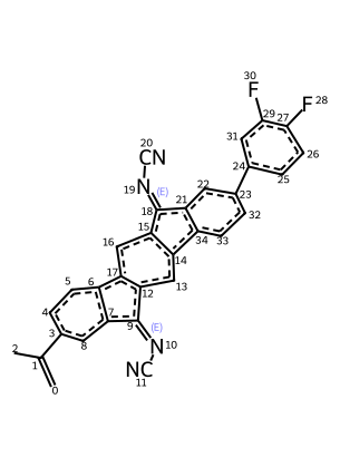 C=C(C)c1ccc2c(c1)/c(=N\C#N)c1cc3c(cc12)/c(=N/C#N)c1cc(-c2ccc(F)c(F)c2)ccc13